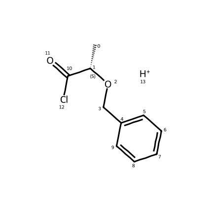 C[C@H](OCc1ccccc1)C(=O)Cl.[H+]